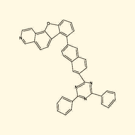 c1ccc(-c2nc(-c3ccccc3)nc(-c3ccc4cc(-c5cccc6oc7c8ccncc8ccc7c56)ccc4c3)n2)cc1